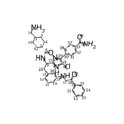 NC[C@H]1CC[C@H](C(=O)NC(Cc2cccc(NCC(=O)c3ccccc3)c2)c2nc(-c3ccc(C(N)=O)cc3)c(Cl)[nH]2)CC1